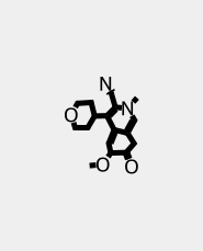 COC1C=C2C(=CN(C)C(C#N)=C2C2CCOCC2)CC1=O